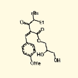 CCCCC(CC)C(=O)C(=Cc1ccc(OC)cc1)C(=O)OCC(O)CO